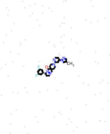 Cc1cnn(-c2ccnc(N3CCC4(CC3)CN3CC[C@@H](c5cc(F)cc(F)c5)N3C4=O)c2)c1